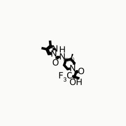 Cc1cn(C(=O)N[C@@H]2CCN(C(=O)C(C)(O)C(F)(F)F)C[C@@H]2C)nc1C